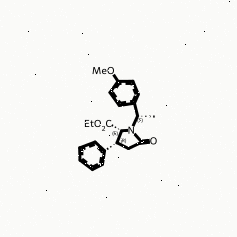 CCOC(=O)[C@H]1[C@@H](c2ccccc2)CC(=O)N1[C@@H](C)c1ccc(OC)cc1